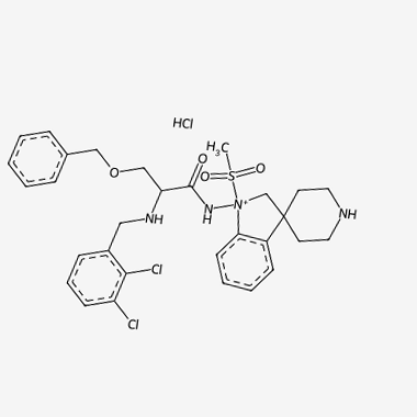 CS(=O)(=O)[N+]1(NC(=O)C(COCc2ccccc2)NCc2cccc(Cl)c2Cl)CC2(CCNCC2)c2ccccc21.Cl